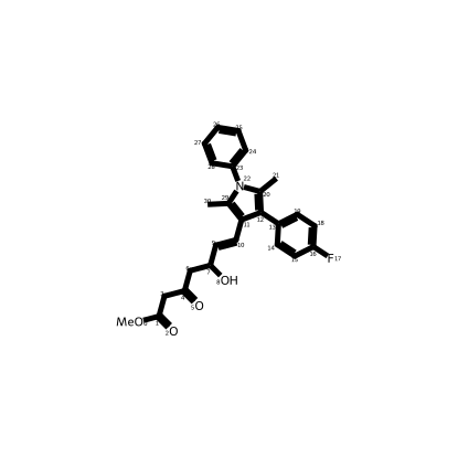 COC(=O)CC(=O)CC(O)/C=C/c1c(-c2ccc(F)cc2)c(C)n(-c2ccccc2)c1C